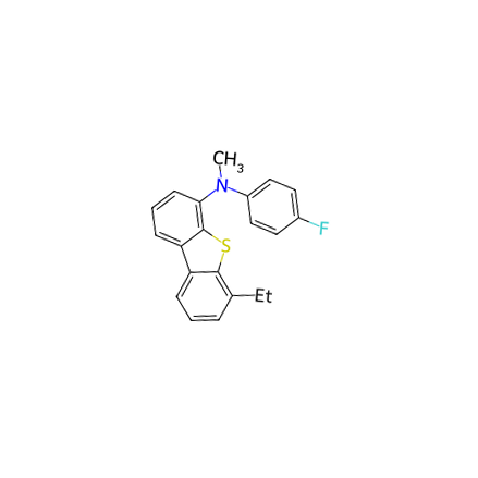 CCc1cccc2c1sc1c(N(C)c3ccc(F)cc3)cccc12